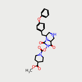 COC(=O)C1CCN(C(=O)ON2C(=O)C3CNCC(Cc4ccc(Oc5ccccc5)cc4)N3C2=O)CC1